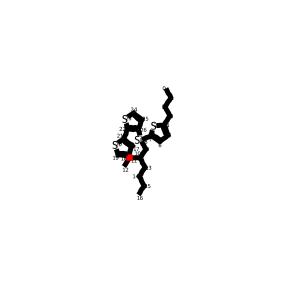 CCCCc1ccc([Si]2(CC(CC)CCCC)c3ccsc3-c3sccc32)s1